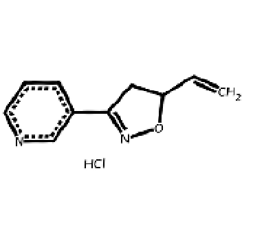 C=CC1CC(c2cccnc2)=NO1.Cl